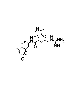 Cc1cc(=O)oc2cc(NC(=O)[C@H](CCCNC(=N)N)NC(=O)[C@H](C)N)ccc12